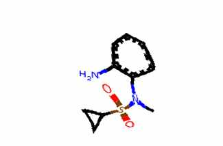 CN(c1ccccc1N)S(=O)(=O)C1CC1